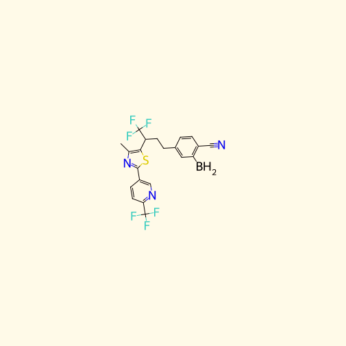 Bc1cc(CCC(c2sc(-c3ccc(C(F)(F)F)nc3)nc2C)C(F)(F)F)ccc1C#N